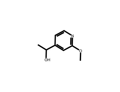 COc1cc(C(C)O)ccn1